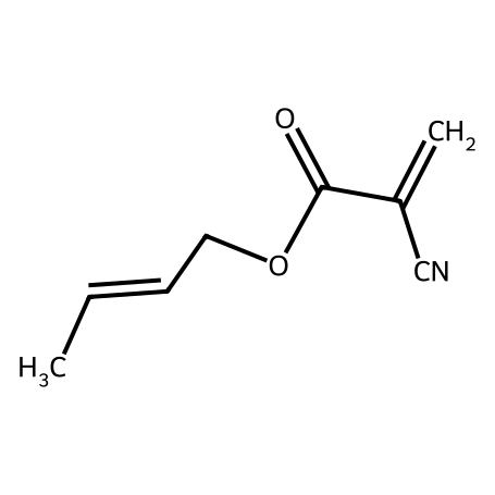 C=C(C#N)C(=O)OCC=CC